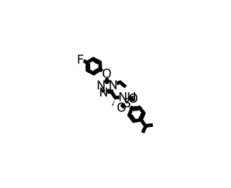 CCn1c(Oc2ccc(F)cc2)nnc1[C@@H](C)NS(=O)(=O)c1ccc(C(C)C)cc1